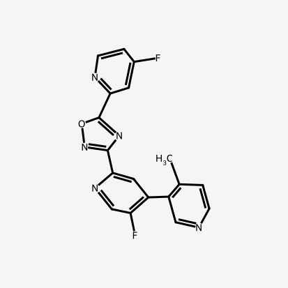 Cc1ccncc1-c1cc(-c2noc(-c3cc(F)ccn3)n2)ncc1F